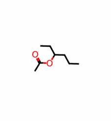 CCCC(CC)OC(C)=O